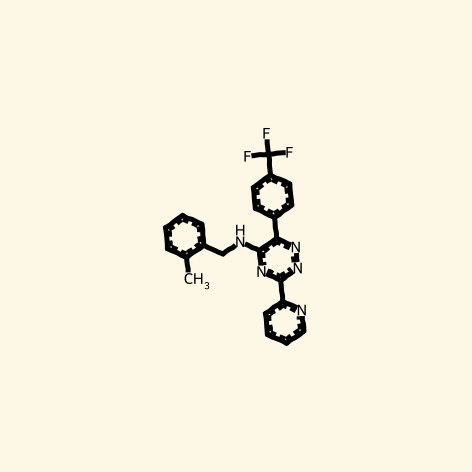 Cc1ccccc1CNc1nc(-c2ccccn2)nnc1-c1ccc(C(F)(F)F)cc1